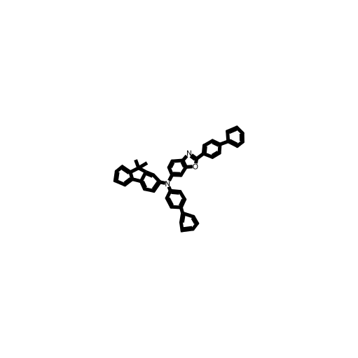 CC1(C)c2ccccc2-c2ccc(N(c3ccc(-c4ccccc4)cc3)c3ccc4nc(-c5ccc(-c6ccccc6)cc5)oc4c3)cc21